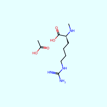 CC(=O)O.CN[C@@H](CCCCNC(=N)N)C(=O)O